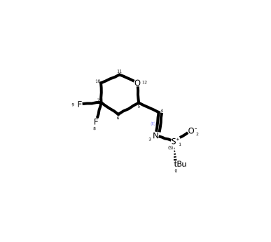 CC(C)(C)[S@@+]([O-])/N=C/C1CC(F)(F)CCO1